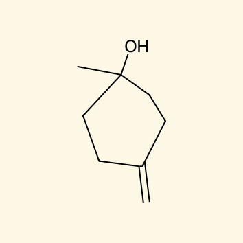 C=C1CCC(C)(O)CC1